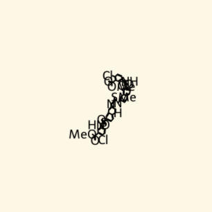 COC(=O)c1cc(NS(=O)(=O)c2ccc3ccc(N=C(Nc4ccc5ccc(S(=O)(=O)Nc6ccc(Cl)c(C(=O)OC)c6)cc5c4)SC)cc3c2)ccc1Cl